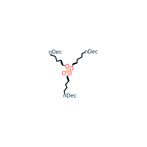 CCCCCCCCCCCCC/C=C/OP(=O)(O/C=C/CCCCCCCCCCCCC)O/C=C/CCCCCCCCCCCCC